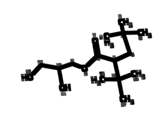 CC(C)(C)CC(C(=O)OCC(O)CO)C(C)(C)C